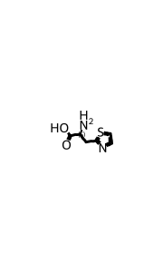 N[C@@H](Cc1nccs1)C(=O)O